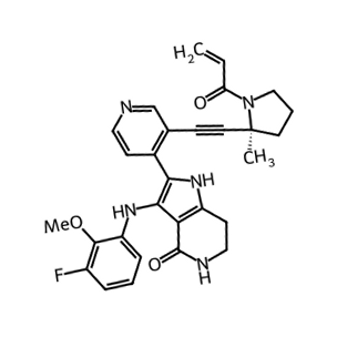 C=CC(=O)N1CCC[C@@]1(C)C#Cc1cnccc1-c1[nH]c2c(c1Nc1cccc(F)c1OC)C(=O)NCC2